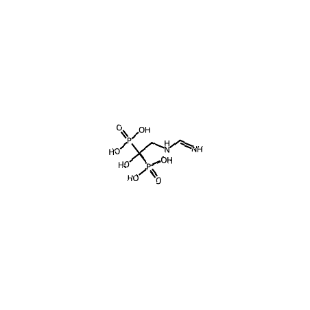 N=CNCC(O)(P(=O)(O)O)P(=O)(O)O